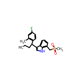 Cc1cc(F)ccc1C(CCC#N)c1c[nH]c2c(CS(C)(=O)=O)cccc12